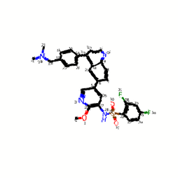 COc1ncc(-c2ccc3nccc(-c4ccc(CN(C)C)cc4)c3c2)cc1NS(=O)(=O)c1ccc(F)cc1F